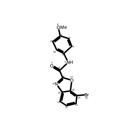 COc1ccc(NC(=O)c2nc3cccc(Br)c3o2)cc1